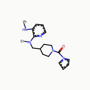 CCN(CC1CCN(C(=O)n2cccc2)CC1)c1ncccc1NC(C)C